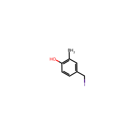 Bc1cc(CI)ccc1O